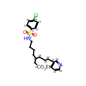 CCOC(=O)CC(CCCCNS(=O)(=O)c1ccc(Cl)cc1)CCCc1cccnc1